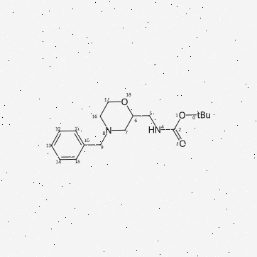 CC(C)(C)OC(=O)NCC1CN(Cc2ccccc2)CCO1